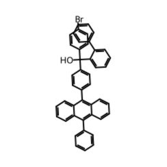 OC(c1ccc(Br)cc1)(c1ccc(-c2c3ccccc3c(-c3ccccc3)c3ccccc23)cc1)c1ccccc1-c1ccccc1